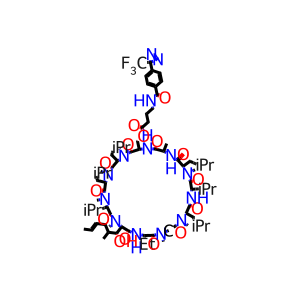 C/C=C/CC(C)C(O)C1C(=O)NC(CC)C(=O)N(C)CC(=O)N(C)C(CC(C)C)C(=O)NC(C(C)C)C(=O)N(C)C(CC(C)C)C(=O)NC(C)C(=O)NC(COC(=O)CCCNC(=O)c2ccc(C3(C(F)(F)F)N=N3)cc2)C(=O)N(C)C(CC(C)C)C(=O)N(C)C(CC(C)C)C(=O)N(C)C(C(C)C)C(=O)N1C